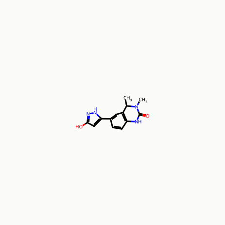 CC1c2cc(-c3cc(O)n[nH]3)ccc2NC(=O)N1C